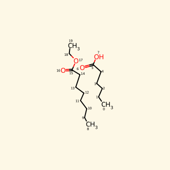 CCCCCC(=O)O.CCCCCCCC(=O)OCC